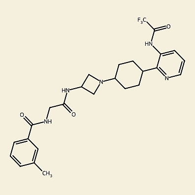 Cc1cccc(C(=O)NCC(=O)NC2CN(C3CCC(c4ncccc4NC(=O)C(F)(F)F)CC3)C2)c1